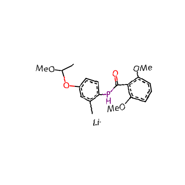 COc1cccc(OC)c1C(=O)Pc1ccc(OC(C)OC)cc1C.[Li]